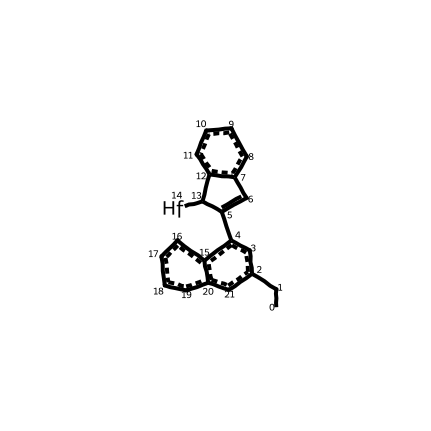 CCc1cc(C2=Cc3ccccc3[CH]2[Hf])c2ccccc2c1